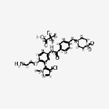 Cn1ncc(Cl)c1-c1cc(NC(=O)c2ccc(CN3CCS(=O)(=O)CC3)cc2)ccc1OCCN.O=C(O)C(F)(F)F